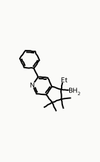 BC1(CC)c2cc(-c3ccccc3)ncc2C(C)(C)C1(C)C